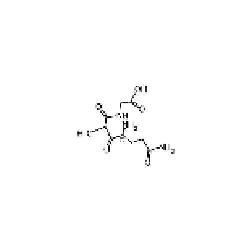 CC(C(=O)NCC(=O)O)C(=O)[C@@H](N)CCC(N)=O